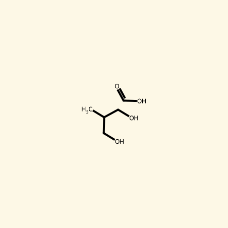 CC(CO)CO.O=CO